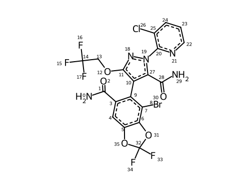 NC(=O)c1cc2c(c(Br)c1-c1c(OCC(F)(F)F)nn(-c3ncccc3Cl)c1C(N)=O)OC(F)(F)O2